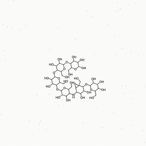 OCC1OC(OC2C(O)C(O)C(NC3C(CO)OC(OC4C(CO)OC(OC5C(CO)OC(OC6C(CO)OC(O)C(O)C6O)C(O)C5O)C(O)C4O)C(O)C3O)C3OC23CO)C(O)C(O)C1O